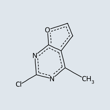 Cc1nc(Cl)nc2occc12